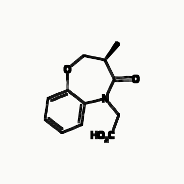 C[C@@H]1COc2ccccc2N(CC(=O)O)C1=O